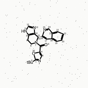 CC(C)(C)c1ncc(C(=O)N2CCc3[nH]cnc3[C@@H]2c2cc3ccccc3cn2)o1